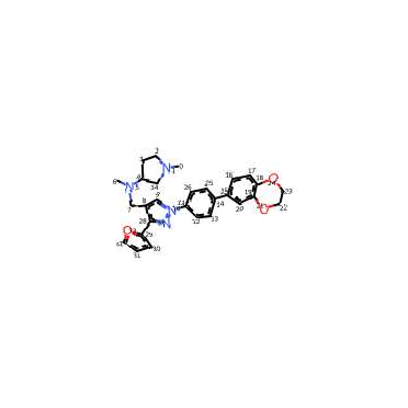 CN1CCC(N(C)Cc2cn(-c3ccc(-c4ccc5c(c4)OCCO5)cc3)nc2-c2ccco2)C1